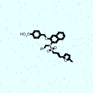 Cc1ccc(C=CCS(=O)(=O)N(CC(C)C)c2cc3ccccc3cc2OCc2ccc(C(=O)O)cc2)o1